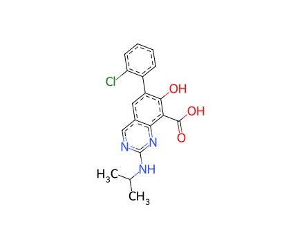 CC(C)Nc1ncc2cc(-c3ccccc3Cl)c(O)c(C(=O)O)c2n1